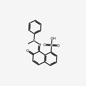 CN(/N=C1\C(=O)C=Cc2cccc(S(=O)(=O)O)c21)c1ccccc1